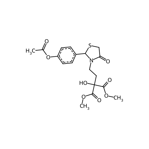 COC(=O)C(O)(CCN1C(=O)CSC1c1ccc(OC(C)=O)cc1)C(=O)OC